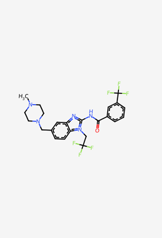 CN1CCN(Cc2ccc3c(c2)nc(NC(=O)c2cccc(C(F)(F)F)c2)n3CC(F)(F)F)CC1